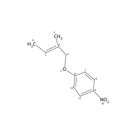 [CH2]C=C(C)COc1ccc([N+](=O)[O-])cc1